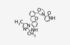 Cc1cnc(C(C)Nc2ccc3c(c2)Cc2cccc(C4CN(c5ccc[nH]c5=O)CCO4)c2O3)nc1